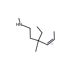 C/C=C\C(C)(CC)CCNC